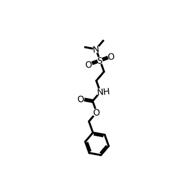 CN(C)S(=O)(=O)CCNC(=O)OCc1ccccc1